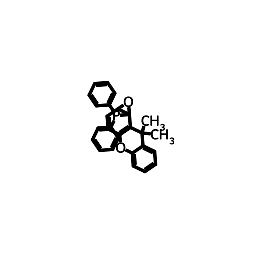 CC1(C)C2=C(C=CC3OC23P(c2ccccc2)c2ccccc2)Oc2ccccc21